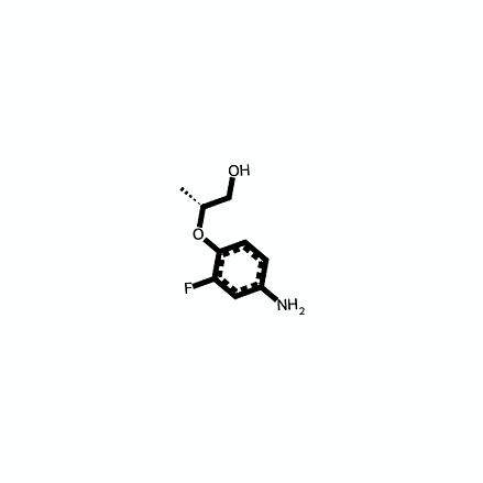 C[C@H](CO)Oc1ccc(N)cc1F